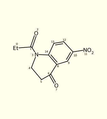 CCC(=O)N1CCC(=O)c2cc([N+](=O)[O-])ccc21